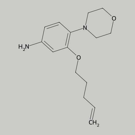 C=CCCCOc1cc(N)ccc1N1CCOCC1